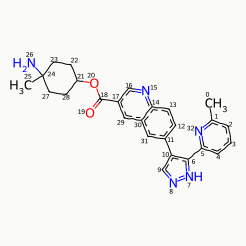 Cc1cccc(-c2[nH]ncc2-c2ccc3ncc(C(=O)OC4CCC(C)(N)CC4)cc3c2)n1